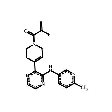 C=C(F)C(=O)N1CC=C(c2nccnc2Nc2ccc(C(F)(F)F)nc2)CC1